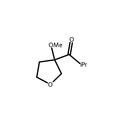 COC1(C(=O)C(C)C)CCOC1